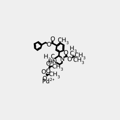 CC(=O)[O-].CC(=O)[O-].Cc1ccc(C2C(C)NCCN2C(=O)OC(C)(C)C)cc1C(=O)OCc1ccccc1.[Pd+2]